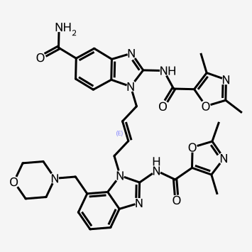 Cc1nc(C)c(C(=O)Nc2nc3cc(C(N)=O)ccc3n2C/C=C/Cn2c(NC(=O)c3oc(C)nc3C)nc3cccc(CN4CCOCC4)c32)o1